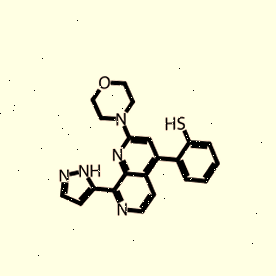 Sc1ccccc1-c1cc(N2CCOCC2)nc2c(-c3ccn[nH]3)nccc12